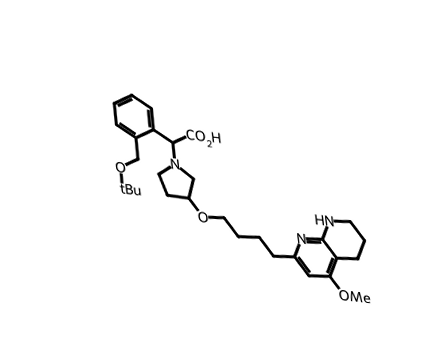 COc1cc(CCCCOC2CCN(C(C(=O)O)c3ccccc3COC(C)(C)C)C2)nc2c1CCCN2